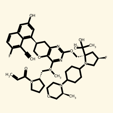 C#Cc1c(F)ccc2cc(O)cc([C@@H]3COc4c(nc(OC[C@]5(C(C)(C)O)C[C@@H](F)CN5C5CCC(N6CCOC[C@@H]6C)CC5)nc4N(C)C[C@@H]4CCCN4C(=O)C=C)C3)c12